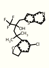 CC(C)(CC(O)(Cc1cc2cnccc2s1)C(F)(F)F)c1cc(Cl)cc2c1OCC2